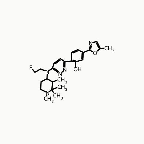 Cc1cnc(-c2ccc(-c3ccc(N(CCF)C4CCN(C)C(C)(C)C4C)nn3)c(O)c2)o1